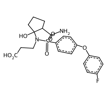 NC(=O)C1CCCC1(O)N(CCC(=O)O)S(=O)(=O)c1ccc(Oc2ccc(F)cc2)cc1